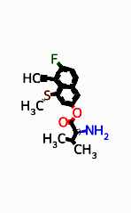 C#Cc1c(F)ccc2cc(OC(=O)[C@@H](N)C(C)C)cc(SC)c12